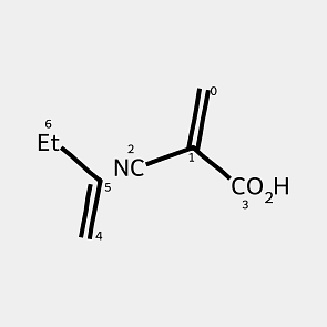 C=C(C#N)C(=O)O.C=CCC